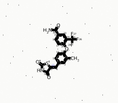 Cc1cc(/C=C2\SC(=O)NC2=O)ccc1Oc1ccc(C(N)=O)cc1C(F)(F)F